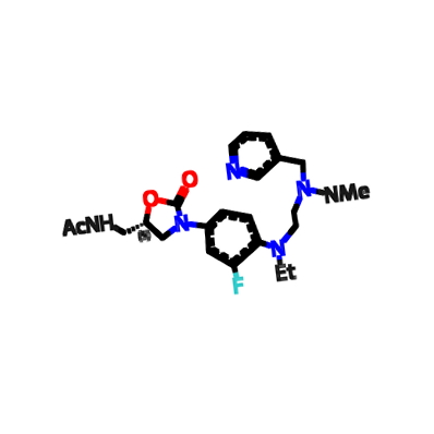 CCN(CCN(Cc1cccnc1)NC)c1ccc(N2C[C@H](CNC(C)=O)OC2=O)cc1F